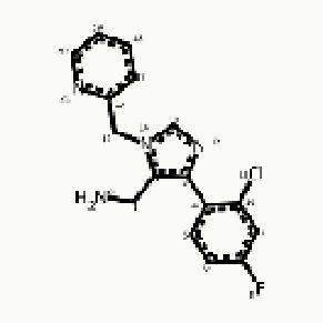 NCc1c(-c2ccc(F)cc2Cl)ncn1Cc1ccccn1